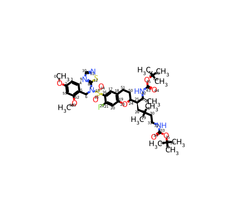 COc1ccc(CN(c2ncns2)S(=O)(=O)c2cc3c(cc2F)OC([C@H](CC(C)(C)CCNC(=O)OC(C)(C)C)[C@@H](C)NC(=O)OC(C)(C)C)CC3)c(OC)c1